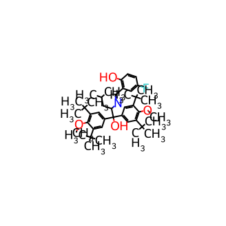 COc1c(C(C)(C)C)cc(C(O)(c2cc(C(C)(C)C)c(OC)c(C(C)(C)C)c2)C(CC(C)C)N=Cc2cc(F)ccc2O)cc1C(C)(C)C